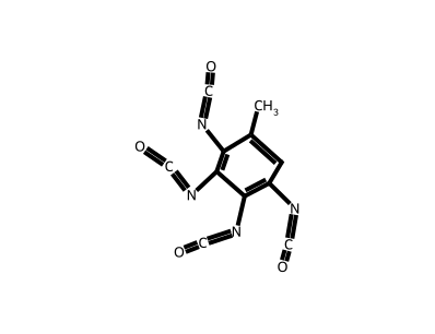 Cc1cc(N=C=O)c(N=C=O)c(N=C=O)c1N=C=O